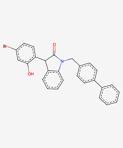 O=C1C(c2ccc(Br)cc2O)c2ccccc2N1Cc1ccc(-c2ccccc2)cc1